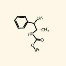 CC(C)OC(=O)N[C@@H](C)[C@H](O)c1ccccc1